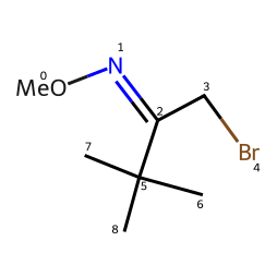 CON=C(CBr)C(C)(C)C